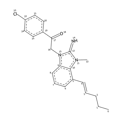 CCC/C=C/c1cccc2c1n(C)c(=N)n2CC(=O)c1ccc(Cl)cc1